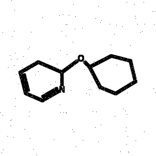 C1=CCC(OC2CCCCC2)N=C1